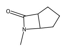 CN1C(=O)C2CCCC21